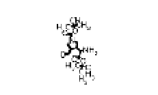 CC(C)(C)OC(=O)C(N)C1CN(C(=O)OC(C)(C)C)CC1C=O